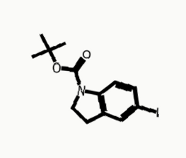 CC(C)(C)OC(=O)N1CCc2cc(I)ccc21